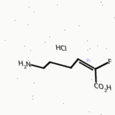 Cl.NCCC/C=C(/F)C(=O)O